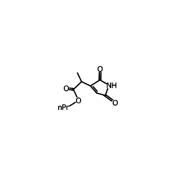 CCCOC(=O)C(C)C1=CC(=O)NC1=O